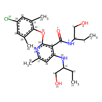 CCC(CO)NC(=O)c1c(NC(CC)CO)cc(C)nc1Oc1c(C)cc(Cl)cc1C